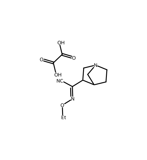 CCON=C(C#N)C1CN2CCC1C2.O=C(O)C(=O)O